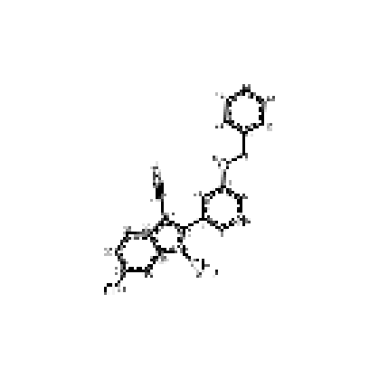 Cn1c(-c2cncc(OCc3ccccc3)c2)c(C#N)c2ccc(Cl)cc21